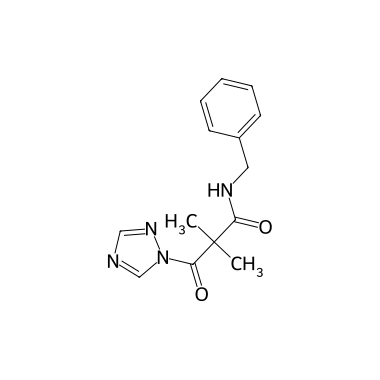 CC(C)(C(=O)NCc1ccccc1)C(=O)n1cncn1